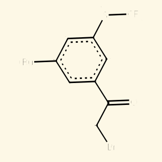 CC(C)(C)c1cc(SC(F)(F)F)cc(C(=O)CBr)c1